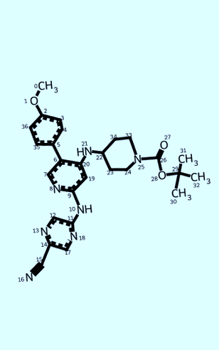 COc1ccc(-c2cnc(Nc3cnc(C#N)cn3)cc2NC2CCN(C(=O)OC(C)(C)C)CC2)cc1